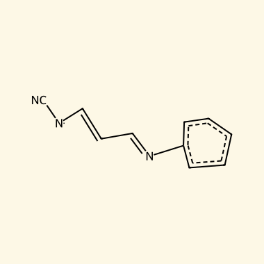 N#C[N]C=CC=Nc1ccccc1